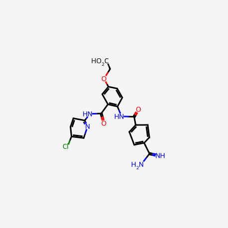 N=C(N)c1ccc(C(=O)Nc2ccc(OCC(=O)O)cc2C(=O)Nc2ccc(Cl)cn2)cc1